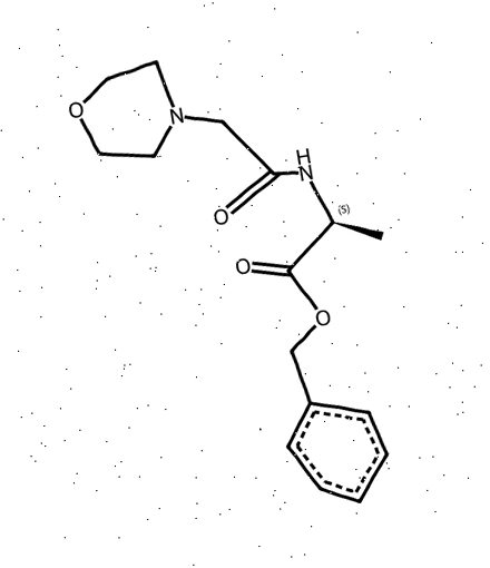 C[C@H](NC(=O)CN1CCOCC1)C(=O)OCc1ccccc1